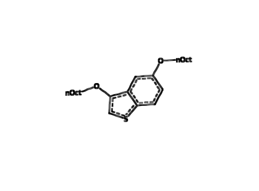 CCCCCCCCOc1ccc2scc(OCCCCCCCC)c2c1